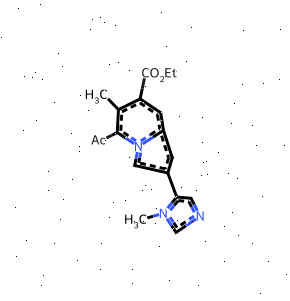 CCOC(=O)c1cc2cc(-c3cncn3C)cn2c(C(C)=O)c1C